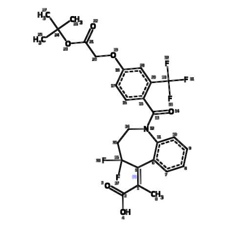 C/C(C(=O)O)=C1\c2ccccc2N(C(=O)c2ccc(OCC(=O)OC(C)(C)C)cc2C(F)(F)F)CCC1(F)F